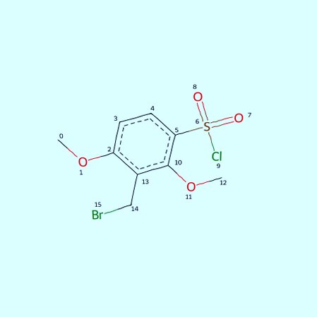 COc1ccc(S(=O)(=O)Cl)c(OC)c1CBr